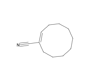 N#CC1=CCCCCCCCC1